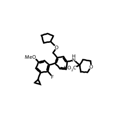 COc1cc(-c2ccc(NC3(C(=O)O)CCOCC3)cc2COC2CCCC2)c(F)c(C2CC2)c1